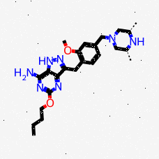 CCCCOc1nc(N)c2[nH]nc(Cc3ccc(CN4C[C@@H](C)N[C@@H](C)C4)cc3OC)c2n1